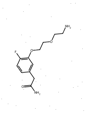 NCCOCCOc1cc(CC(N)=O)ccc1F